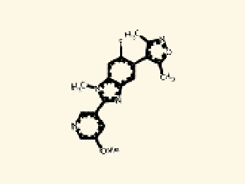 COc1cncc(-c2nc3cc(-c4c(C)noc4C)c(F)cc3n2C)c1